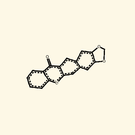 O=c1c2ccccc2oc2cc3cc4c(cc3cc12)OCO4